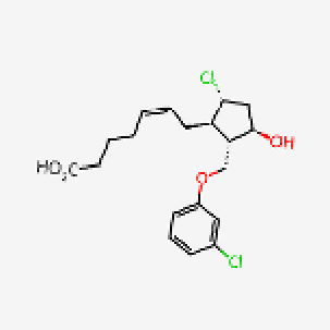 O=C(O)CCC/C=C\C[C@@H]1[C@@H](COc2cccc(Cl)c2)[C@H](O)C[C@H]1Cl